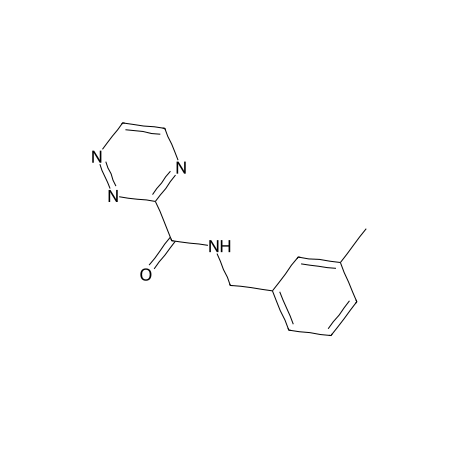 Cc1cccc(CNC(=O)c2nccnn2)c1